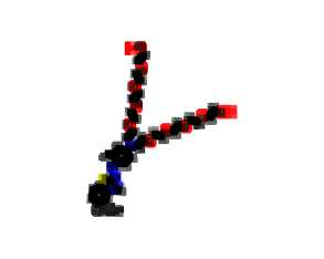 COc1ccc2sc(/N=N/c3ccc(N(CCOCCOCCOCCOCCO)CCOCCOCCOCCOCCO)cc3C)[n+](C)c2c1